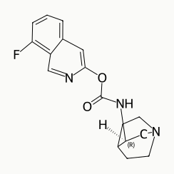 O=C(N[C@H]1CN2CCC1CC2)Oc1cc2cccc(F)c2cn1